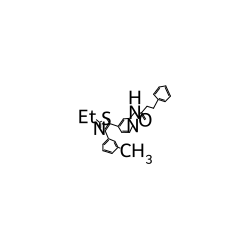 CCc1nc(-c2cccc(C)c2)c(-c2ccnc(NC(=O)CCc3ccccc3)c2)s1